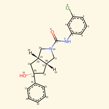 O=C(Nc1cccc(Cl)c1)N1C[C@@H]2C[C@@](O)(c3ccccc3)C[C@@H]2C1